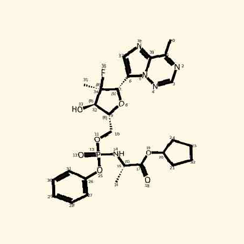 Cc1ncnn2c([C@@H]3O[C@H](COP(=O)(N[C@@H](C)C(=O)OC4CCCC4)Oc4ccccc4)[C@@H](O)[C@@]3(C)F)cnc12